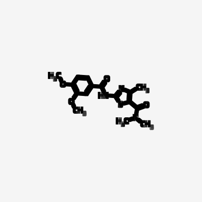 COc1ccc(C(=O)Nc2nc(C)c(C(=O)N(C)C)s2)cc1OC